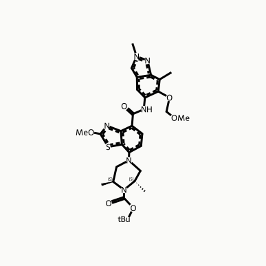 COCOc1c(NC(=O)c2ccc(N3C[C@H](C)N(C(=O)OC(C)(C)C)[C@@H](C)C3)c3sc(OC)nc23)cc2cn(C)nc2c1C